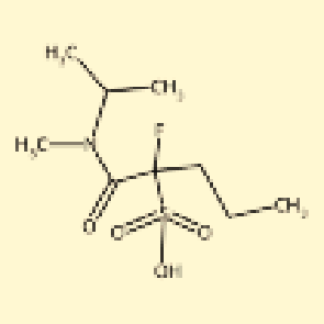 CCCC(F)(C(=O)N(C)C(C)C)S(=O)(=O)O